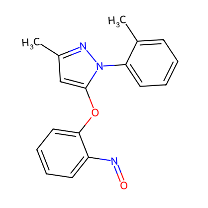 Cc1cc(Oc2ccccc2N=O)n(-c2ccccc2C)n1